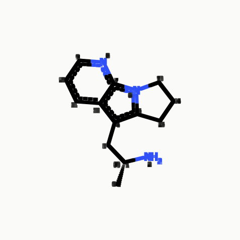 C[C@@H](N)Cc1c2n(c3ncccc13)CCC2